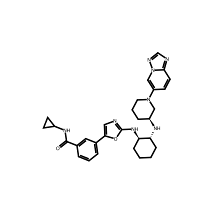 O=C(NC1CC1)c1cccc(-c2cnc(N[C@@H]3CCCC[C@H]3N[C@H]3CCCN(c4ccc5ncnn5c4)C3)o2)c1